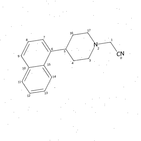 N#CCN1CCC(c2cccc3ccccc23)CC1